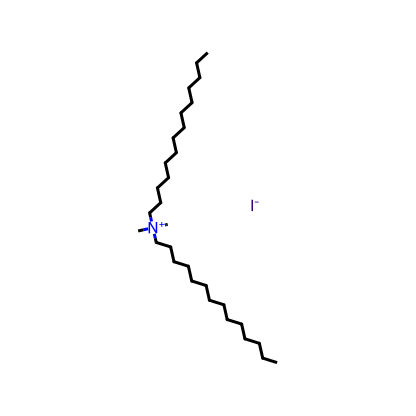 CCCCCCCCCCCCCC[N+](C)(C)CCCCCCCCCCCCCC.[I-]